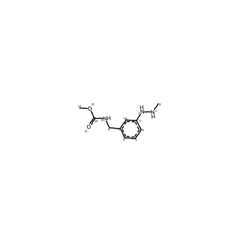 CNNc1cccc(CNC(=O)OC)c1